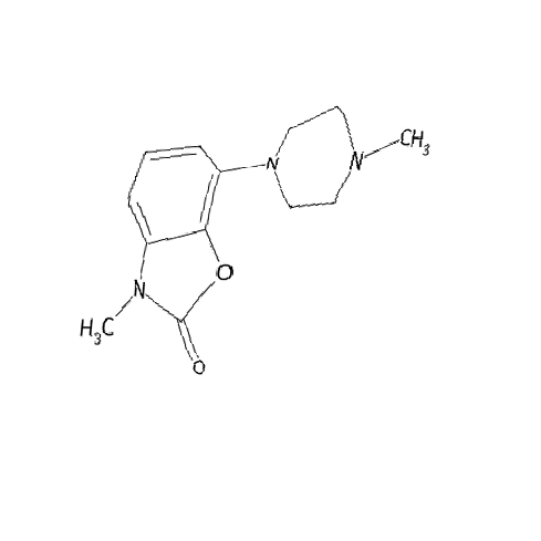 CN1CCN(c2cccc3c2oc(=O)n3C)CC1